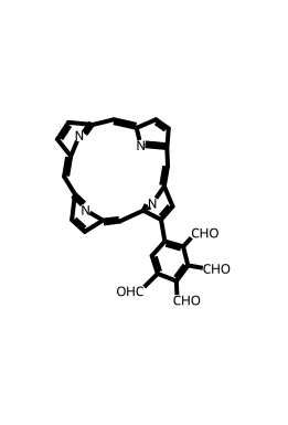 O=Cc1cc(C2=CC3=CC4=NC(=CC5=NC(=CC6=NC(=CC2=N3)C=C6)C=C5)C=C4)c(C=O)c(C=O)c1C=O